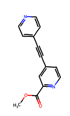 COC(=O)c1cc(C#Cc2ccncc2)ccn1